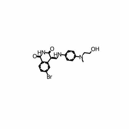 CN(CCO)c1ccc(N/C=C2\C(=O)NC(=O)c3ccc(Br)cc32)cc1